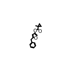 CC1(C(=O)Oc2coc(Cc3ccccc3)c2)CC1